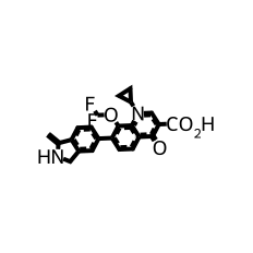 C=C1NCc2cc(-c3ccc4c(=O)c(C(=O)O)cn(C5CC5)c4c3OC(F)F)ccc21